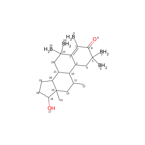 BC1=C2C(CC(B)(B)C1=O)C1C(C)CC3(C)C(O)CCC3C1CC2(B)B